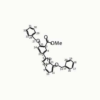 COC(=O)c1cc(-c2cn3cccc(OCc4ccccc4)c3n2)ccc1OCc1ccccc1